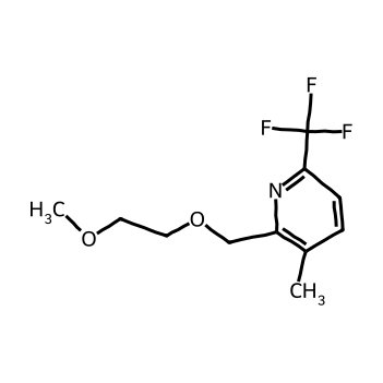 COCCOCc1nc(C(F)(F)F)ccc1C